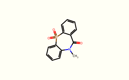 CN1C(=O)c2ccccc2S(=O)(=O)c2ccccc21